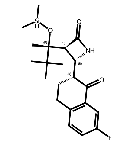 C[SiH](C)O[C@](C)([C@H]1C(=O)N[C@@H]1[C@H]1CCc2ccc(F)cc2C1=O)C(C)(C)C